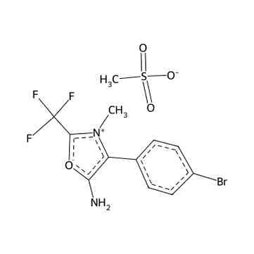 CS(=O)(=O)[O-].C[n+]1c(C(F)(F)F)oc(N)c1-c1ccc(Br)cc1